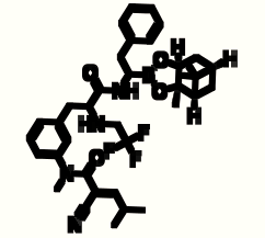 CC(C)C=C(C#N)C(=O)N(C)c1cccc(CC(NCC(F)(F)F)C(=O)NC(Cc2ccccc2)B2O[C@@H]3C[C@@H]4C[C@@H](C4(C)C)[C@]3(C)O2)c1